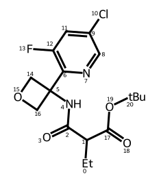 CCC(C(=O)NC1(c2ncc(Cl)cc2F)COC1)C(=O)OC(C)(C)C